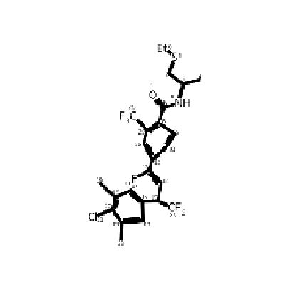 CCSCC(C)NC(=O)c1ccc(/C(F)=C/C(c2cc(C)c(Cl)c(C)c2)C(F)(F)F)cc1C(F)(F)F